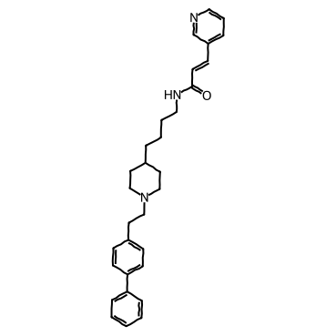 O=C(C=Cc1cccnc1)NCCCCC1CCN(CCc2ccc(-c3ccccc3)cc2)CC1